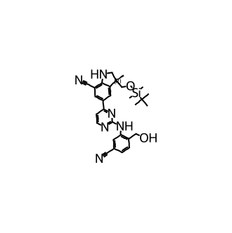 CC(C)(C)[Si](C)(C)OC[C@@]1(C)CNc2c(C#N)cc(-c3ccnc(Nc4cc(C#N)ccc4CO)n3)cc21